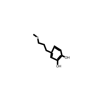 CSCCCc1ccc(O)c(O)c1